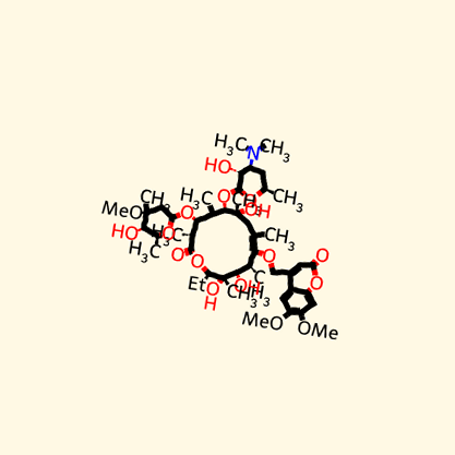 CC[C@H]1OC(=O)[C@H](C)[C@@H](OC2C[C@@](C)(OC)[C@@H](O)[C@H](C)O2)C(C)[C@@H](OC2O[C@H](C)C[C@H](N(C)C)[C@H]2O)[C@](C)(O)C/C(C)=C(/OCc2cc(=O)oc3cc(OC)c(OC)cc23)[C@H](C)[C@@H](O)[C@]1(C)O